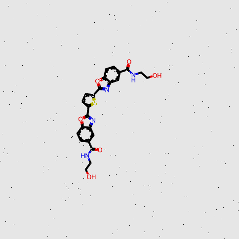 O=C(NCCO)c1ccc2oc(-c3ccc(-c4nc5cc(C(=O)NCCO)ccc5o4)s3)nc2c1